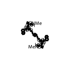 CN[C@@H](C)C(=O)NC(C(=O)N1C[C@@H](OCCCN2CCN(CCCO[C@H]3C[C@@H](C(=O)N[C@@H]4CCCc5ccccc54)N(C(=O)C(NC(=O)[C@H](C)NC)C4CCC4)C3)CC2)C[C@H]1C(=O)N[C@@H]1CCCc2ccccc21)C1CCC1